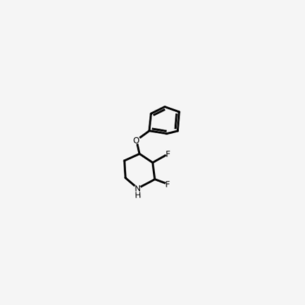 FC1NCCC(Oc2ccccc2)C1F